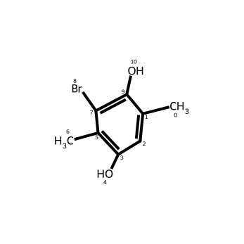 Cc1cc(O)c(C)c(Br)c1O